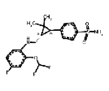 CC1(C)[C@@H](CNc2ccc(F)cc2OC(F)F)[C@@H]1c1ccc(S(N)(=O)=O)cc1